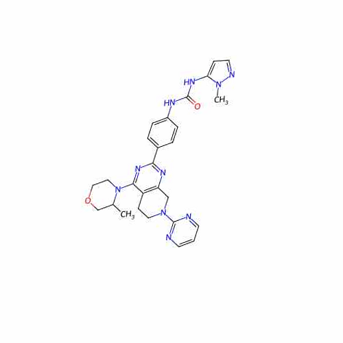 CC1COCCN1c1nc(-c2ccc(NC(=O)Nc3ccnn3C)cc2)nc2c1CCN(c1ncccn1)C2